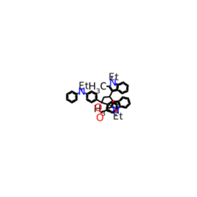 CCN(c1ccccc1)c1ccc(C2(CC(c3c(C)n(CC)c4ccccc34)c3c(C)n(CC)c4ccccc34)OC(=O)c3ccccc32)cc1